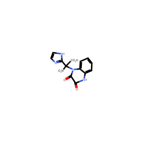 O=C(O)C(c1ncc[nH]1)(n1c(=O)c(=O)[nH]c2ccccc21)[N+](=O)[O-]